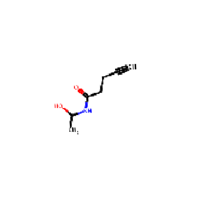 C#CCCC(=O)NC(C)O